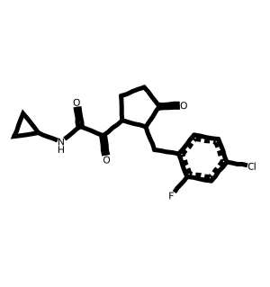 O=C(NC1CC1)C(=O)C1CCC(=O)C1Cc1ccc(Cl)cc1F